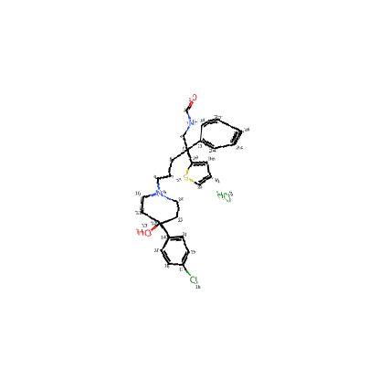 Cl.O=CNCC(CCCN1CCC(O)(c2ccc(Cl)cc2)CC1)(c1ccccc1)c1cccs1